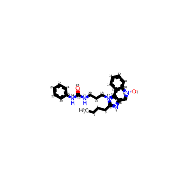 CCCCc1nc2c[n+]([O-])c3ccccc3c2n1CCCNC(=O)Nc1ccccc1